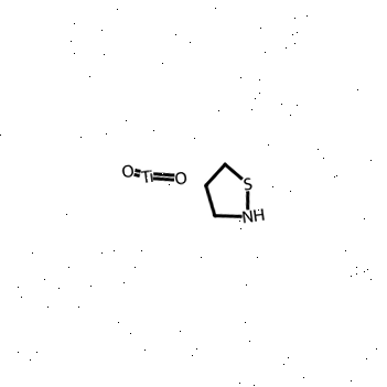 C1CNSC1.[O]=[Ti]=[O]